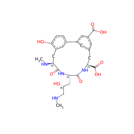 CNC[C@H](O)C[C@@H]1NC(=O)[C@@H](NC)Cc2cc(ccc2O)-c2cc(cc(C(=O)O)c2)C[C@@H](C(=O)O)NC1=O